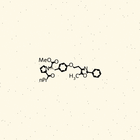 CCCC(=O)c1cccn1[C@@H](Cc1ccc(OCCc2nc(-c3ccccc3)oc2C)cc1)C(=O)OC